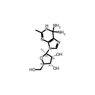 CC1=Nc2c(ncn2[C@]2(C)O[C@H](CO)[C@@H](O)[C@H]2O)C(N)(N)N1